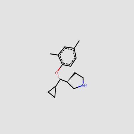 Cc1ccc(O[C@@H](C2CC2)[C@H]2CCNC2)c(C)c1